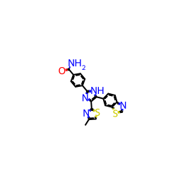 Cc1csc(-c2nc(-c3ccc(C(N)=O)cc3)[nH]c2-c2ccc3ncsc3c2)n1